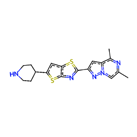 Cc1cn2nc(-c3nc4sc(C5CCNCC5)cc4s3)cc2c(C)n1